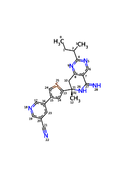 CCC(C)c1ncc2c(n1)C[C@@](C)(c1cc(-c3cncc(C#N)c3)cs1)NC2=N